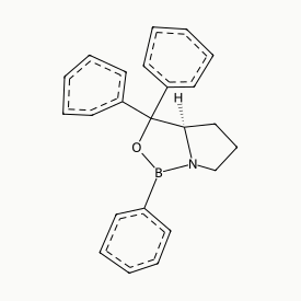 c1ccc(B2OC(c3ccccc3)(c3ccccc3)[C@H]3CCCN23)cc1